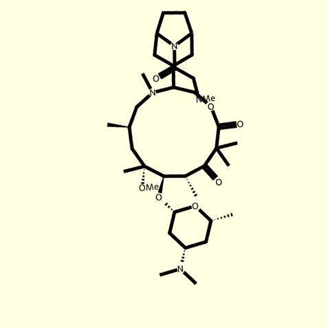 CNCC(=O)N1C2CCC1CC(C1COC(=O)C(C)(C)C(=O)[C@H](C)[C@@H](O[C@H]3C[C@@H](N(C)C)C[C@@H](C)O3)[C@](C)(OC)C[C@@H](C)CN1C)C2